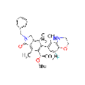 Cc1c(-c2c(C)c3c(c(C)c2[C@H](OC(C)(C)C)C(=O)O)C(=O)N(Cc2ccccc2)C3)cc(F)c2c1NCCO2